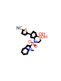 Cn1c(S(=O)(=O)N2CCS(O)(O)c3ccc(-c4ccc(C#N)s4)cc32)cc2ccccc21